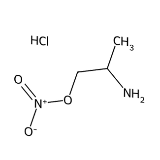 CC(N)CO[N+](=O)[O-].Cl